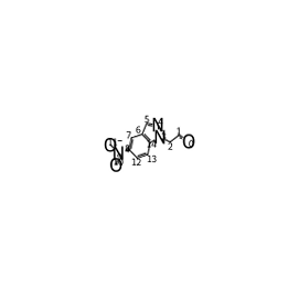 O=CCn1ncc2cc([N+](=O)[O-])ccc21